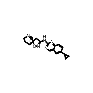 c1cc2nc(NC3=NOC4(C3)CN3CCC4CC3)ncc2cc1C1CC1